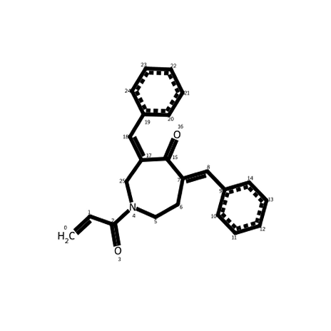 C=CC(=O)N1CCC(=Cc2ccccc2)C(=O)C(=Cc2ccccc2)C1